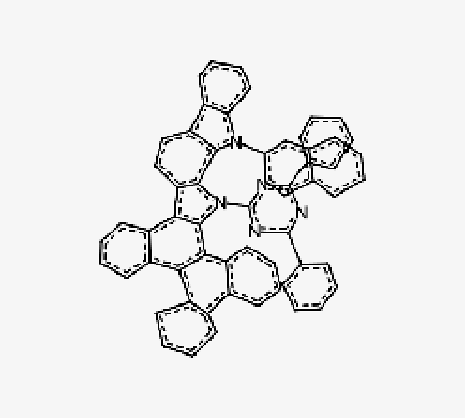 c1ccc(-c2nc(-c3ccccc3)nc(-n3c4c(c5ccccc5c5c6ccccc6c6ccccc6c54)c4ccc5c6ccccc6n(-c6ccc7ccccc7c6)c5c43)n2)cc1